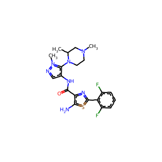 CC1CN(C)CCN1c1c(NC(=O)c2nc(-c3c(F)cccc3F)sc2N)cnn1C